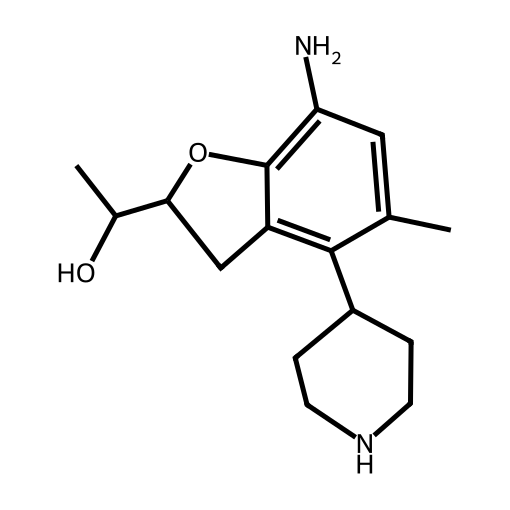 Cc1cc(N)c2c(c1C1CCNCC1)CC(C(C)O)O2